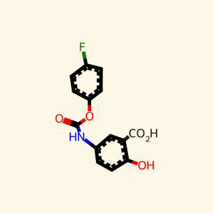 O=C(Nc1ccc(O)c(C(=O)O)c1)Oc1ccc(F)cc1